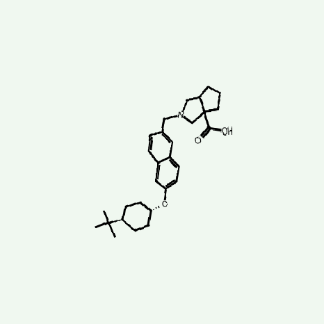 CC(C)(C)[C@H]1CC[C@H](Oc2ccc3cc(CN4CC5CCCC5(C(=O)O)C4)ccc3c2)CC1